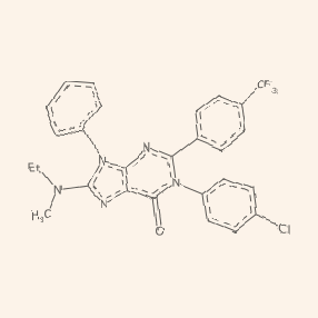 CCN(C)c1nc2c(=O)n(-c3ccc(Cl)cc3)c(-c3ccc(C(F)(F)F)cc3)nc2n1-c1ccccc1